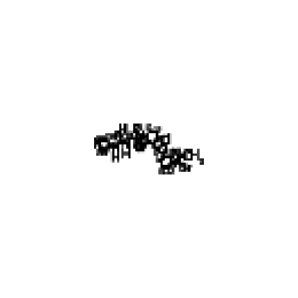 Cc1nc2c(OCc3c(Cl)ccc(N(C)C(=O)CNC(=O)Nc4ccncn4)c3Cl)cccn2c1Br